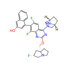 Oc1cc(-c2c(F)cc3c(N4C[C@H]5CC[C@@H](C4)N5)nc(OC[C@]45CCCN4C[C@H](F)C5)nc3c2F)c2ccccc2c1